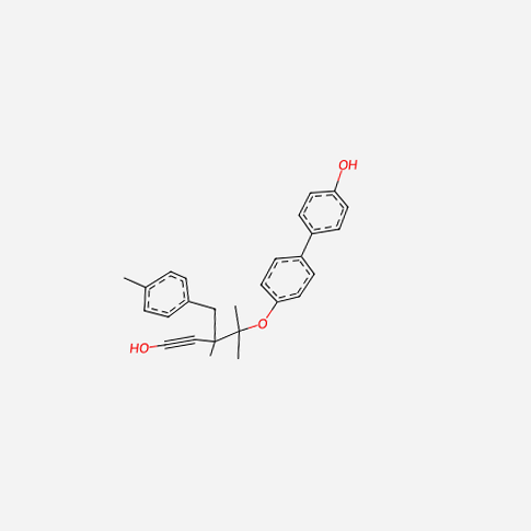 Cc1ccc(CC(C)(C#CO)C(C)(C)Oc2ccc(-c3ccc(O)cc3)cc2)cc1